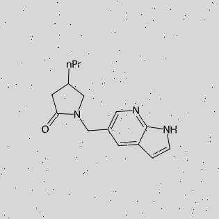 CCCC1CC(=O)N(Cc2cnc3[nH]ccc3c2)C1